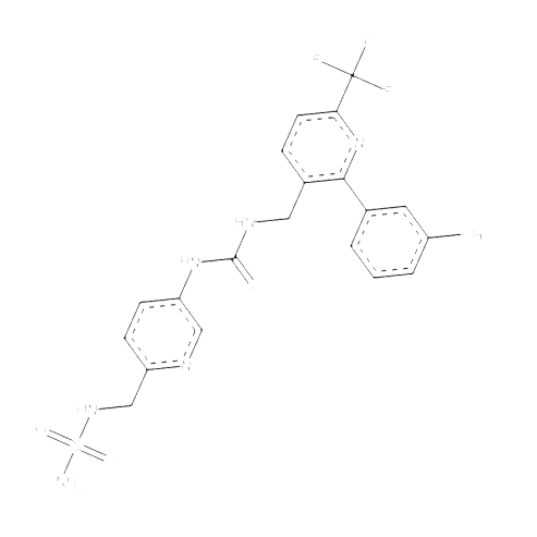 Cc1cccc(-c2nc(C(F)(F)F)ccc2CNC(=O)Nc2ccc(CNS(N)(=O)=O)nc2)c1